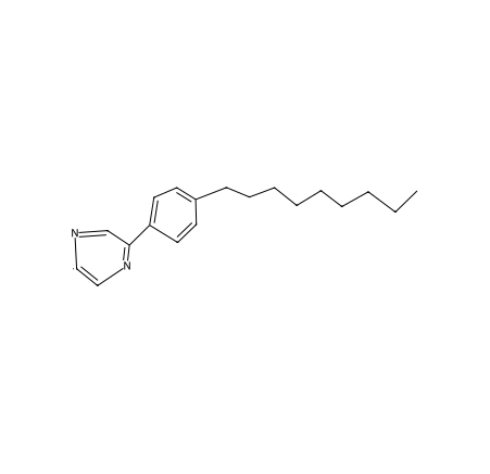 CCCCCCCCCc1ccc(-c2cn[c]cn2)cc1